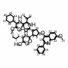 CCC[C@H](NC(=O)[C@@H]1C[C@@H](Oc2cc(-c3ccccc3)nc3cc(OC)ccc23)C[C@H]1C(=O)NC(C(=O)NC(C(=O)OC)C1CCCCC1)C(C)C)C(=O)O